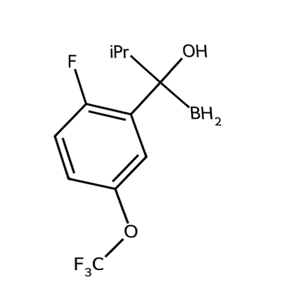 BC(O)(c1cc(OC(F)(F)F)ccc1F)C(C)C